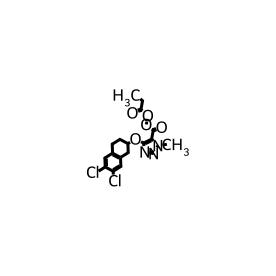 CCC(=O)OOC(=O)c1c(OC2CCc3cc(Cl)c(Cl)cc3C2)nnn1C